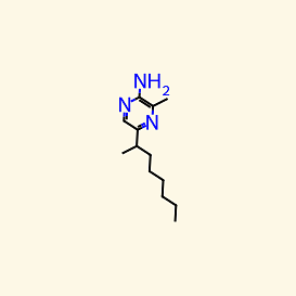 CCCCCCC(C)c1cnc(N)c(C)n1